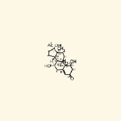 CC(=O)[C@@]1(O)CC[C@H]2[C@@H]3C(O)CC4=CC(=O)CC(O)[C@]4(C)[C@H]3CC[C@@]21C